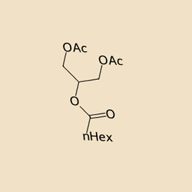 CCCCCCC(=O)OC(COC(C)=O)COC(C)=O